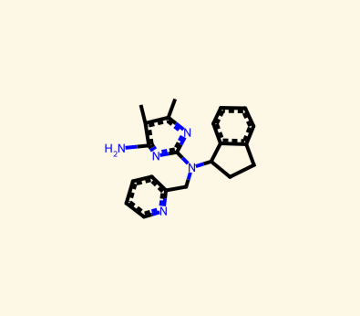 Cc1nc(N(Cc2ccccn2)C2CCc3ccccc32)nc(N)c1C